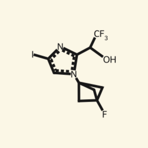 OC(c1nc(I)cn1C12CC(F)(C1)C2)C(F)(F)F